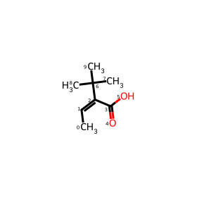 CC=C(C(=O)O)C(C)(C)C